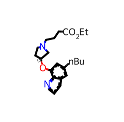 CCCCc1cc(O[C@H]2CCN(CCCC(=O)OCC)C2)c2ncccc2c1